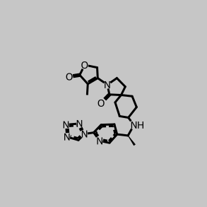 CC1=C(N2CCC3(CCC(N[C@@H](C)c4ccc(-n5cnnn5)nc4)CC3)C2=O)COC1=O